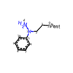 CCCCCCCN(N)c1ccccc1